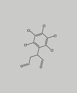 O=[C]CC([C]=O)c1c(Cl)c(Cl)c(Cl)c(Cl)c1Cl